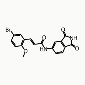 COc1ccc(Br)cc1C=CC(=O)Nc1ccc2c(c1)C(=O)NC2=O